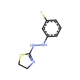 Fc1cccc(NNC2=NCCS2)c1